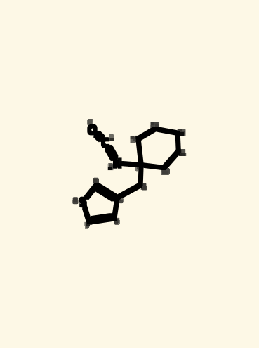 O=C=NC1(Cc2ccsc2)CCCCC1